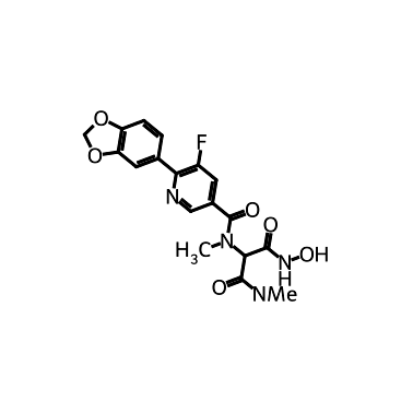 CNC(=O)C(C(=O)NO)N(C)C(=O)c1cnc(-c2ccc3c(c2)OCO3)c(F)c1